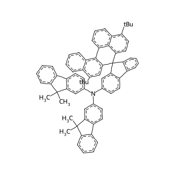 CC(C)(C)c1cc2c(c3ccccc13)-c1cccc3c(C(C)(C)C)ccc(c13)C21c2ccccc2-c2ccc(N(c3ccc4c(c3)C(C)(C)c3ccccc3-4)c3ccc4c(c3)C(C)(C)c3ccccc3-4)cc21